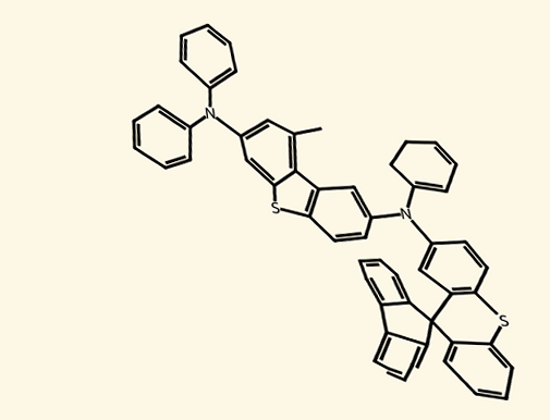 Cc1cc(N(c2ccccc2)c2ccccc2)cc2sc3ccc(N(C4=CC=CCC4)c4ccc5c(c4)C4(c6ccccc6S5)c5ccccc5-c5ccccc54)cc3c12